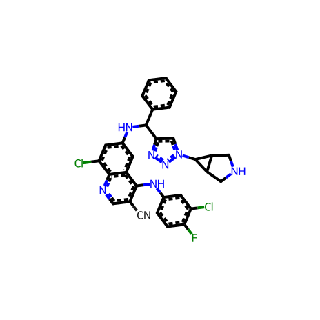 N#Cc1cnc2c(Cl)cc(NC(c3ccccc3)c3cn(C4C5CNCC54)nn3)cc2c1Nc1ccc(F)c(Cl)c1